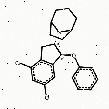 Clc1cc(Cl)c2c(c1)[C@H](Oc1ccccc1)[C@@H](N1C3CCCC1CC3)C2